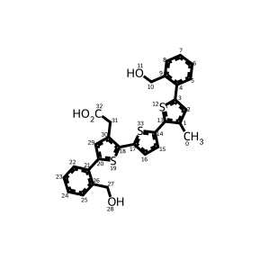 Cc1cc(-c2ccccc2CO)sc1-c1ccc(-c2sc(-c3ccccc3CO)cc2CC(=O)O)s1